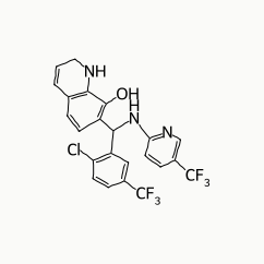 Oc1c(C(Nc2ccc(C(F)(F)F)cn2)c2cc(C(F)(F)F)ccc2Cl)ccc2c1NCC=C2